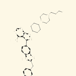 Nc1ncnc2c1c(-c1ccc3[nH]c(Cc4ccccc4)nc3c1)nn2[C@H]1CC[C@@H](N2CCN(CCCO)CC2)CC1